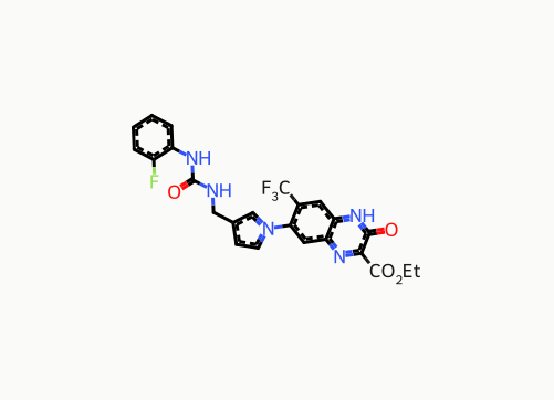 CCOC(=O)c1nc2cc(-n3ccc(CNC(=O)Nc4ccccc4F)c3)c(C(F)(F)F)cc2[nH]c1=O